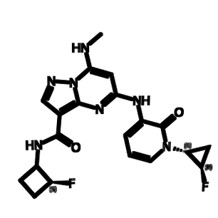 CNc1cc(Nc2cccn([C@@H]3C[C@H]3F)c2=O)nc2c(C(=O)NC3CC[C@@H]3F)cnn12